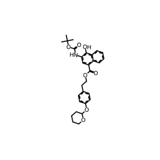 CC(C)(C)OC(=O)Nc1cc(C(=O)OCCc2ccc(OC3CCCCO3)cc2)c2ccccc2c1O